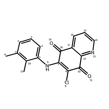 Cc1cccc(NC2=C(Cl)C(=O)c3ncccc3C2=O)c1C